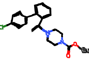 CC(c1ccccc1-c1ccc(Cl)cc1)N1CCN(C(=O)OC(C)(C)C)CC1